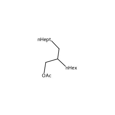 CCCCCCCCC(CCCCCC)COC(C)=O